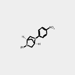 CC(C)N1C[C@H]2C[C@@H]1CN2c1ccc([N+](=O)[O-])cc1